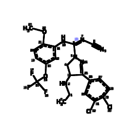 CCNC1CN(/C(=N\C#N)Nc2cc(OC(F)(F)F)ccc2OC)N=C1c1ccc(Cl)c(Cl)c1